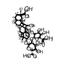 CC[C@@]12CC[C@H](O[C@@H]3O[C@@H](C(=O)O)[C@H](O)[C@@H](O)[C@@H]3O[C@H]3O[C@@H](C(=O)O)[C@H](O)[C@@H](O)[C@@H]3O)C(C)(C)[C@H]1CC[C@]13C(=C4[C@H]5C[C@@](C)(C(=O)O)CC[C@@]5(C)CC[C@@]41C)C(=O)[C@@H]23